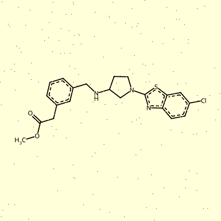 COC(=O)Cc1cccc(CNC2CCN(c3nc4ccc(Cl)cc4s3)C2)c1